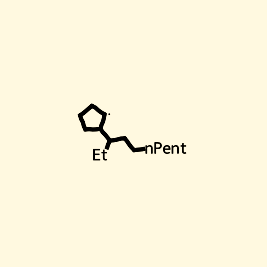 CCCCCCCC(CC)C1[CH]CCC1